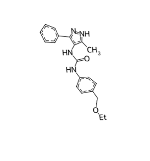 CCOCc1ccc(NC(=O)Nc2c(-c3ccccc3)n[nH]c2C)cc1